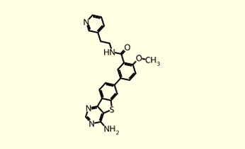 COc1ccc(-c2ccc3c(c2)sc2c(N)ncnc23)cc1C(=O)NCCc1cccnc1